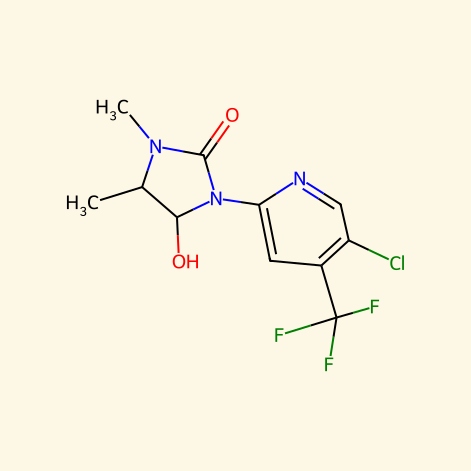 CC1C(O)N(c2cc(C(F)(F)F)c(Cl)cn2)C(=O)N1C